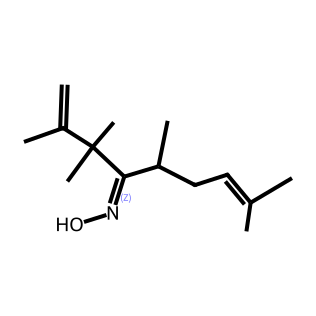 C=C(C)C(C)(C)/C(=N\O)C(C)CC=C(C)C